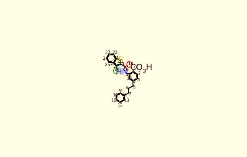 O=C(O)c1ccc(CCCc2ccccc2)cc1NC(=O)c1sc2ccccc2c1Cl